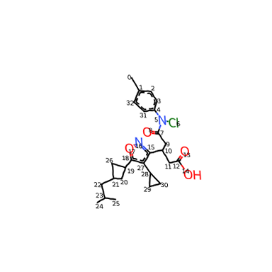 Cc1ccc(N(Cl)C(=O)CC(CC(=O)O)c2noc(C3CC(CC(C)C)C3)c2C2CC2)cc1